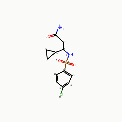 NC(=O)CC(NS(=O)(=O)c1ccc(Cl)cc1)C1CC1